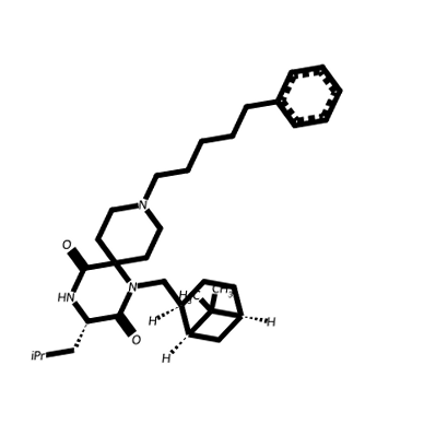 CC(C)C[C@@H]1NC(=O)C2(CCN(CCCCCc3ccccc3)CC2)N(C[C@H]2CC[C@H]3C[C@@H]2C3(C)C)C1=O